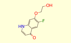 O=c1cc[nH]c2cc(OCCO)c(F)cc12